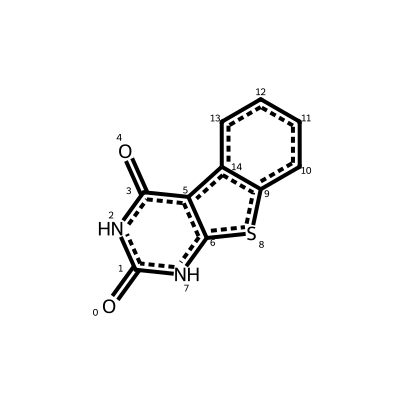 O=c1[nH]c(=O)c2c([nH]1)sc1ccccc12